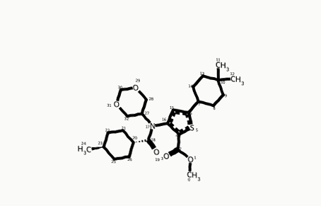 COC(=O)c1sc(C2CCC(C)(C)CC2)cc1N(C(=O)[C@H]1CC[C@H](C)CC1)C1COCOC1